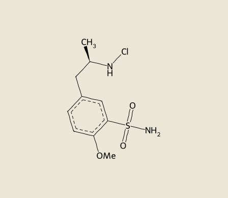 COc1ccc(C[C@@H](C)NCl)cc1S(N)(=O)=O